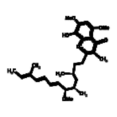 C/C=C(C)/C=C/C=C/[C@H](OC)[C@@H](C)C[C@@H](C)CCc1oc2c(O)c(OC)cc(OC)c2c(=O)c1C